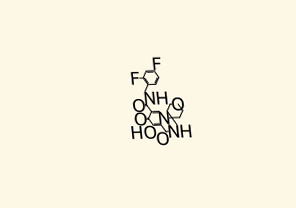 O=C(NCc1ccc(F)cc1F)c1cn2c(c(O)c1=O)C(=O)NCC21CCOCC1